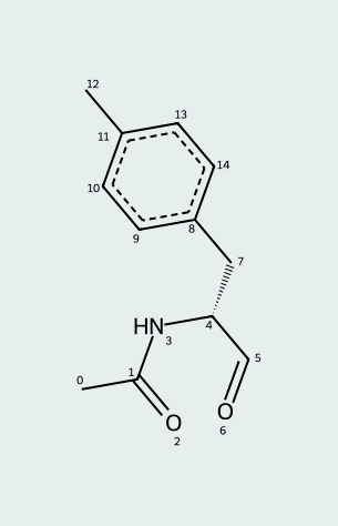 CC(=O)N[C@@H](C=O)Cc1ccc(C)cc1